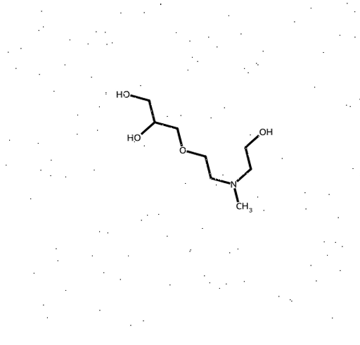 CN(CCO)CCOCC(O)CO